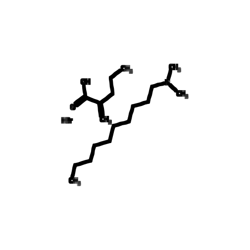 Br.C=C(CCC)C(=O)O.CCCCCCCCCCN(C)C